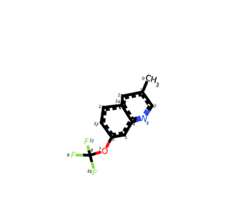 Cc1cnc2cc(OC(F)(F)F)ccc2c1